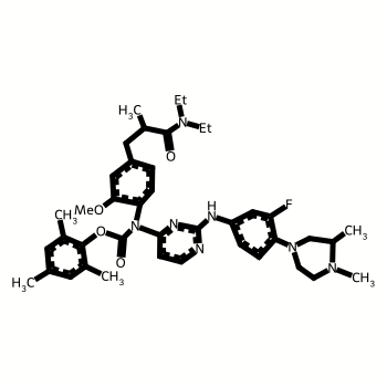 CCN(CC)C(=O)C(C)Cc1ccc(N(C(=O)Oc2c(C)cc(C)cc2C)c2ccnc(Nc3ccc(N4CCN(C)C(C)C4)c(F)c3)n2)c(OC)c1